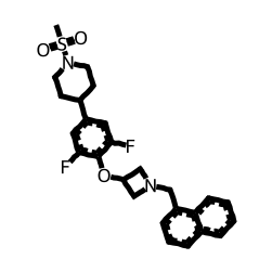 CS(=O)(=O)N1CCC(c2cc(F)c(OC3CN(Cc4cccc5ccccc45)C3)c(F)c2)CC1